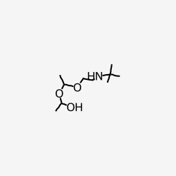 CC(O)OC(C)OCCNC(C)(C)C